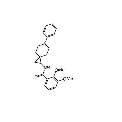 COc1cccc(C(=O)NC2CC23CCN(c2ccccc2)CC3)c1OC